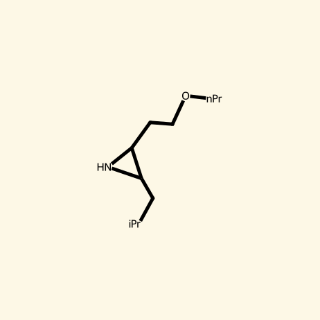 CCCOCCC1NC1CC(C)C